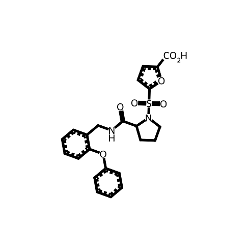 O=C(O)c1ccc(S(=O)(=O)N2CCCC2C(=O)NCc2ccccc2Oc2ccccc2)o1